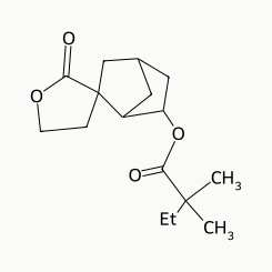 CCC(C)(C)C(=O)OC1CC2CC1C1(CCOC1=O)C2